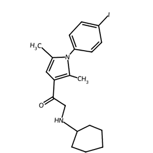 Cc1cc(C(=O)CNC2CCCCC2)c(C)n1-c1ccc(I)cc1